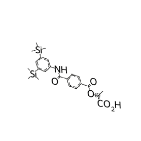 C[C@H](OC(=O)c1ccc(C(=O)Nc2cc([Si](C)(C)C)cc([Si](C)(C)C)c2)cc1)C(=O)O